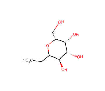 O=C(O)C[C]1O[C@H](CO)[C@H](O)[C@H](O)[C@H]1O